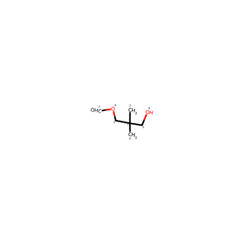 CC(C)(CO)COC=O